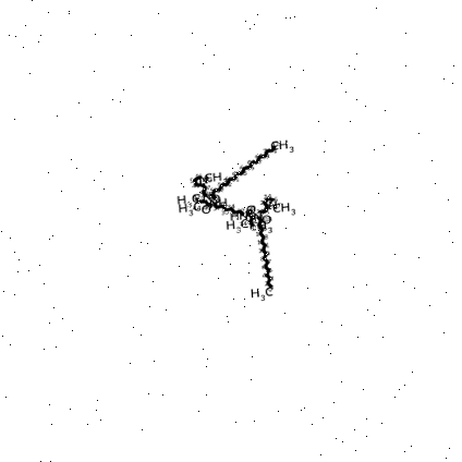 CCCCCCCCCCCCCCCCCC(=O)N(CCC1CCCN1C)C(C(=O)NCCCCCCNC(=O)C(C(C)C)N(CCC1CCCN1C)C(=O)CCCCCCCCCCCCCCCCC)C(C)C